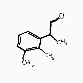 Cc1cccc(C(C)CCl)c1C